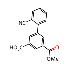 COC(=O)c1cc(C(=O)O)cc(-c2ccccc2C#N)c1